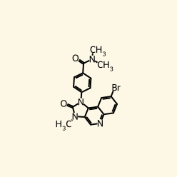 CN(C)C(=O)c1ccc(-n2c(=O)n(C)c3cnc4ccc(Br)cc4c32)cc1